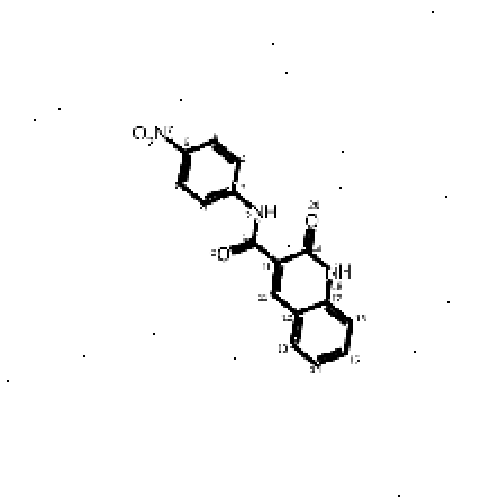 O=C(Nc1ccc([N+](=O)[O-])cc1)c1cc2ccccc2[nH]c1=O